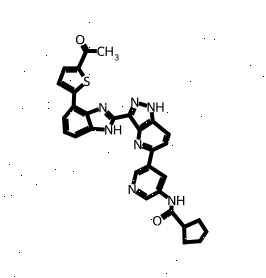 CC(=O)c1ccc(-c2cccc3[nH]c(-c4n[nH]c5ccc(-c6cncc(NC(=O)C7CCCC7)c6)nc45)nc23)s1